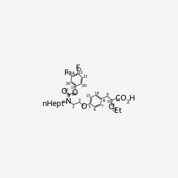 CCCCCCCN(CCOc1ccc(CC(OCC)C(=O)O)cc1)C(=O)Oc1ccc(F)c(F)c1